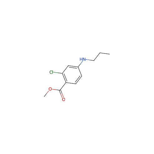 CCCNc1ccc(C(=O)OC)c(Cl)c1